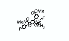 CNC(=O)c1c(-c2ccc(F)cc2)oc2cc(N(CCCF)S(C)(=O)=O)c(-c3cccc(C(=O)OC)c3)cc12